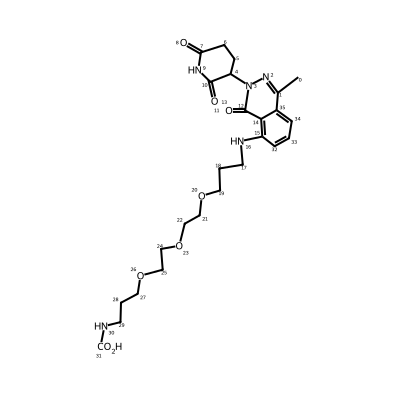 Cc1nn(C2CCC(=O)NC2=O)c(=O)c2c(NCCCOCCOCCOCCCNC(=O)O)cccc12